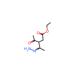 CCOC(=O)CC(C(C)=O)/C(C)=N\N